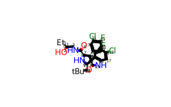 CC[C@H](O)CNC(=O)[C@@H]1N[C@H](CC(C)(C)C)[C@]2(C(=O)Nc3cc(Cl)c(F)cc32)[C@H]1c1ccc(F)c(Cl)c1